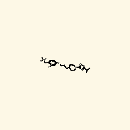 CC(C)c1noc(N2CCC(CCCOc3ccc(CS(C)(=O)=O)c(F)c3)CC2)n1